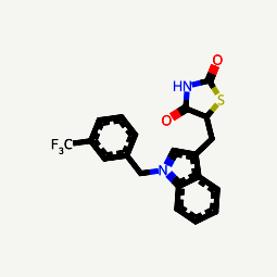 O=C1NC(=O)C(Cc2cn(Cc3cccc(C(F)(F)F)c3)c3ccccc23)S1